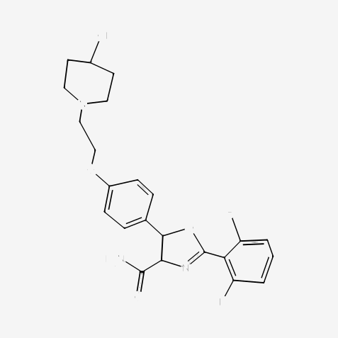 NC(=O)C1N=C(c2c(F)cccc2F)OC1c1ccc(OCCN2CCC(O)CC2)cc1